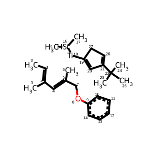 CC=C(C)C=C(C)COc1ccccc1.C[SiH](C)[Ti][C]1=CC(C(C)(C)C)=CC1